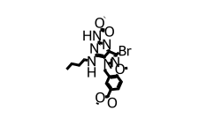 CCCCNc1nc(NC(=O)OC)nc2c(Br)nn(Cc3cc(C(=O)OC)ccc3OC)c12